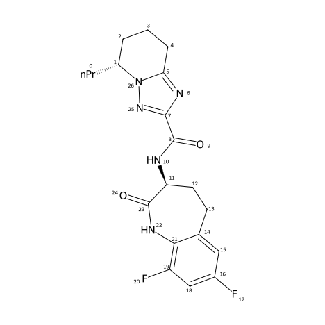 CCC[C@@H]1CCCc2nc(C(=O)N[C@H]3CCc4cc(F)cc(F)c4NC3=O)nn21